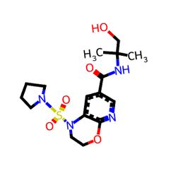 CC(C)(CO)NC(=O)c1cnc2c(c1)N(S(=O)(=O)N1CCCC1)CCO2